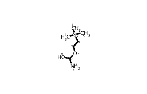 CS(C)(C)CCOC(N)O